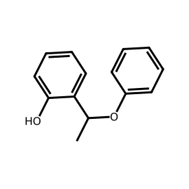 CC(Oc1ccccc1)c1ccccc1O